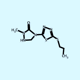 CCCSc1nnc(N2CNN(C)C2=O)s1